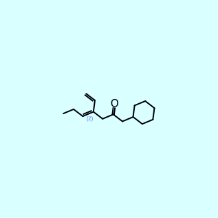 C=C/C(=C\CC)CC(=O)CC1CCCCC1